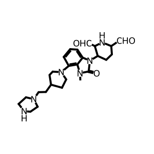 Cn1c(=O)n(C2CCC(C=O)NC2C=O)c2cccc(N3CCC(CCN4CCNCC4)CC3)c21